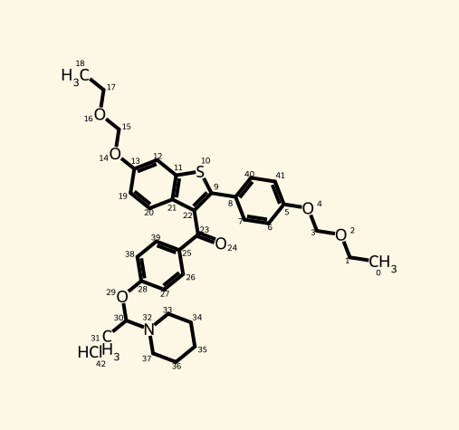 CCOCOc1ccc(-c2sc3cc(OCOCC)ccc3c2C(=O)c2ccc(OC(C)N3CCCCC3)cc2)cc1.Cl